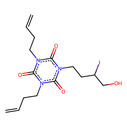 C=CCCn1c(=O)n(CCC=C)c(=O)n(CCC(I)CO)c1=O